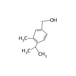 Cc1cc([CH]O)ccc1C(C)C